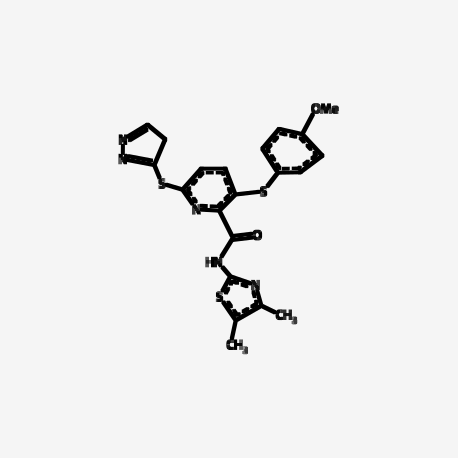 COc1ccc(Sc2ccc(SC3=NN=CC3)nc2C(=O)Nc2nc(C)c(C)s2)cc1